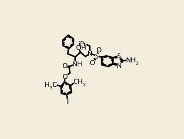 Cc1cc(I)cc(C)c1OCC(=O)NC(Cc1ccccc1)C(O)CN(CC(C)C)S(=O)(=O)c1ccc2nc(N)sc2c1